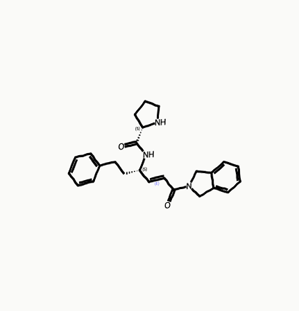 O=C(N[C@H](/C=C/C(=O)N1Cc2ccccc2C1)CCc1ccccc1)[C@@H]1CCCN1